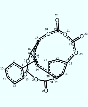 O=C1OC(=O)Oc2c(-c3ccccc3)c3ccc2oc(=O)oc(=O)oc2ccc3cc2O1